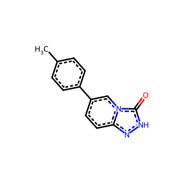 Cc1ccc(-c2ccc3n[nH]c(=O)n3c2)cc1